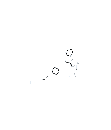 CC1=C(C(=O)OCc2ccc(OCCCS(=O)(=O)O)cc2)[C@@H](c2ccc(Cl)cc2)CC(=O)N1C[C@H]1CCCO1